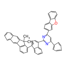 CC1(C)c2cc3ccccc3cc2-c2cccc(-c3ccc(-c4nc(-c5ccccc5)cc(-c5ccc6c(c5)oc5ccccc56)n4)c4ccccc34)c21